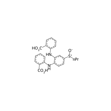 CCC[S+]([O-])c1ccc(Nc2ccccc2C(=O)O)c(Nc2ccccc2C(=O)O)c1